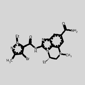 CC[C@H]1CN(C)c2cc(C(N)=O)cc3nc(NC(=O)c4c(Br)c(C)nn4CC)n1c23